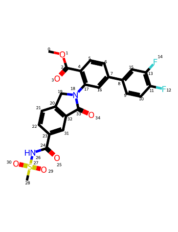 COC(=O)c1ccc(-c2ccc(F)c(F)c2)cc1N1Cc2ccc(C(=O)NS(C)(=O)=O)cc2C1=O